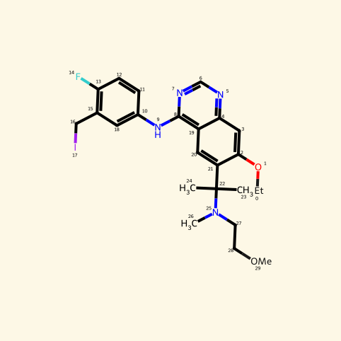 CCOc1cc2ncnc(Nc3ccc(F)c(CI)c3)c2cc1C(C)(C)N(C)CCOC